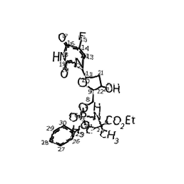 CCOC(=O)C(C)(C)NP(=O)(OC[C@H]1O[C@@H](n2cc(F)c(=O)[nH]c2=O)CC1O)Oc1ccccc1